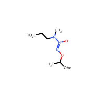 CC(=O)OC(C)O/N=[N+](\[O-])N(C)CCC(=O)O